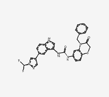 O=C(Nc1ccc2c(c1)N(Cc1ccccc1)C(=O)CS2)Nc1c[nH]c2ccc(-c3cnn(C(F)F)c3)cc12